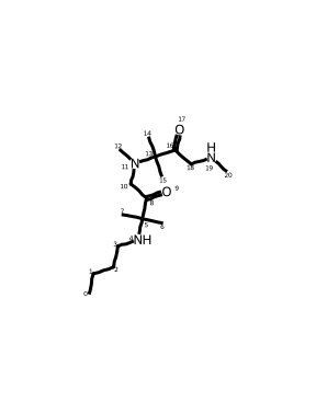 CCCCNC(C)(C)C(=O)CN(C)C(C)(C)C(=O)CNC